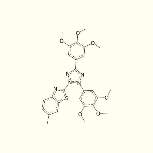 COc1cc(-c2nn(-c3cc(OC)c(OC)c(OC)c3)[n+](-c3nc4ccc(C)cc4s3)n2)cc(OC)c1OC